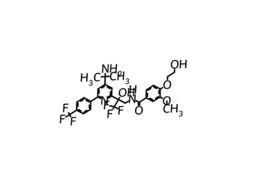 COc1cc(C(=O)NCC(O)(c2cc(C(C)(C)N)cc(-c3ccc(C(F)(F)F)cc3)n2)C(F)(F)F)ccc1OCCO